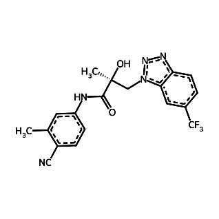 Cc1cc(NC(=O)[C@@](C)(O)Cn2nnc3ccc(C(F)(F)F)cc32)ccc1C#N